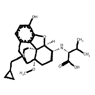 CO[C@@]12CC[C@@H](N[C@@H](C(=O)O)C(C)C)[C@@H]3Oc4c(O)ccc5c4[C@@]31CCN(CC1CC1)C2C5